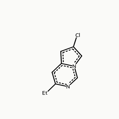 [CH2]Cc1cc2cc(Cl)cn2cn1